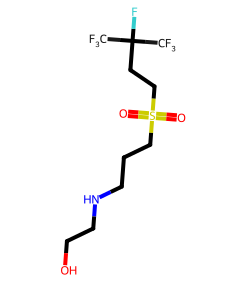 O=S(=O)(CCCNCCO)CCC(F)(C(F)(F)F)C(F)(F)F